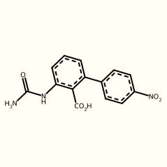 NC(=O)Nc1cccc(-c2ccc([N+](=O)[O-])cc2)c1C(=O)O